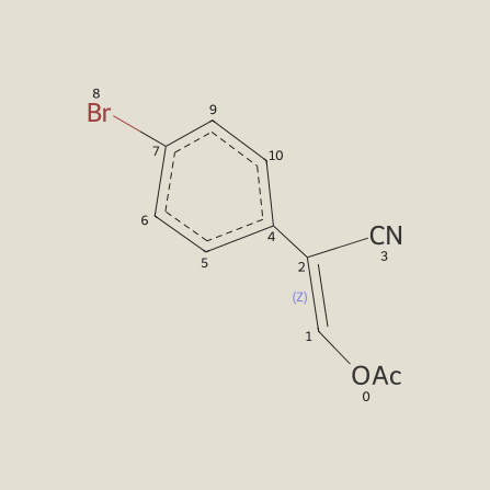 CC(=O)O/C=C(\C#N)c1ccc(Br)cc1